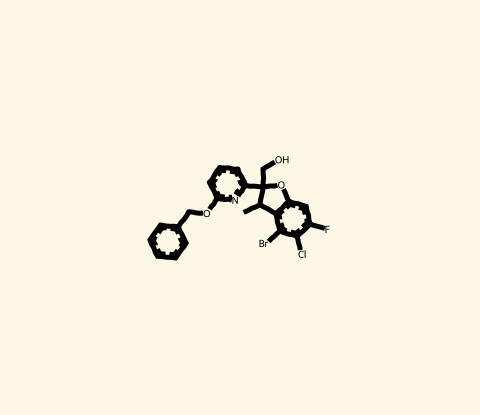 CC1c2c(cc(F)c(Cl)c2Br)OC1(CO)c1cccc(OCc2ccccc2)n1